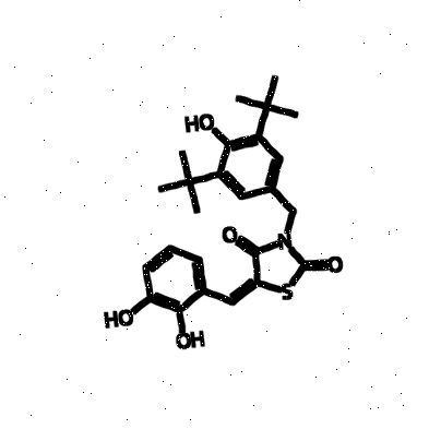 CC(C)(C)c1cc(CN2C(=O)SC(=Cc3cccc(O)c3O)C2=O)cc(C(C)(C)C)c1O